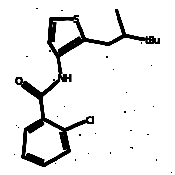 CC(Cc1sccc1NC(=O)c1ccccc1Cl)C(C)(C)C